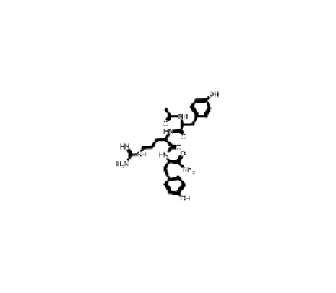 CC(=O)NC(Cc1ccc(O)cc1)C(=O)NC(CCCNC(=N)N)C(=O)NC(Cc1ccc(O)cc1)C(N)=O